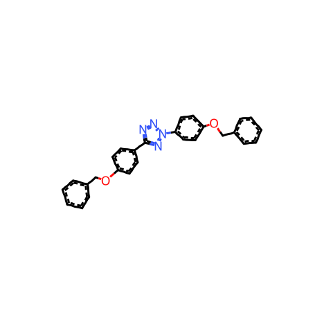 c1ccc(COc2ccc(-c3nnn(-c4ccc(OCc5ccccc5)cc4)n3)cc2)cc1